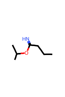 CCCC(=N)OC(C)C